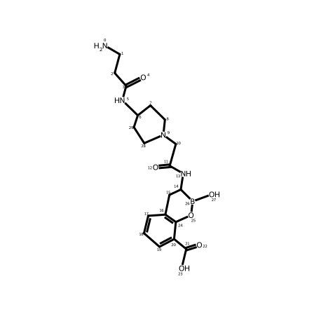 NCCC(=O)NC1CCN(CC(=O)NC2Cc3cccc(C(=O)O)c3OB2O)CC1